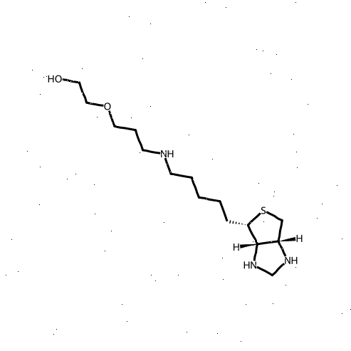 OCCOCCCNCCCCC[C@@H]1SC[C@@H]2NCN[C@@H]21